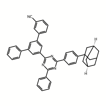 N#Cc1cccc(-c2cc(-c3ccccc3)cc(-c3nc(-c4ccccc4)nc(-c4ccc(C56CC7C[C@H](C5)C[C@@H](C7)C6)cc4)n3)c2)c1